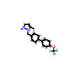 CC1=CCN(C)N1Cc1ccc(-c2ccc(OC(F)(F)F)cc2)cc1